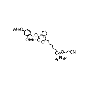 COc1ccc(COC(=O)[C@@H]2CCCN2C(=O)CCCCCOP(OCCC#N)N(C(C)C)C(C)C)c(OC)c1